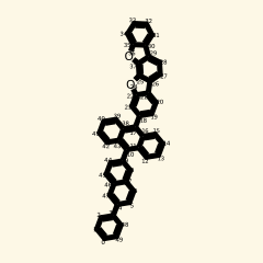 c1ccc(-c2ccc3cc(-c4c5ccccc5c(-c5ccc6c(c5)oc5c6ccc6c7ccccc7oc65)c5ccccc45)ccc3c2)cc1